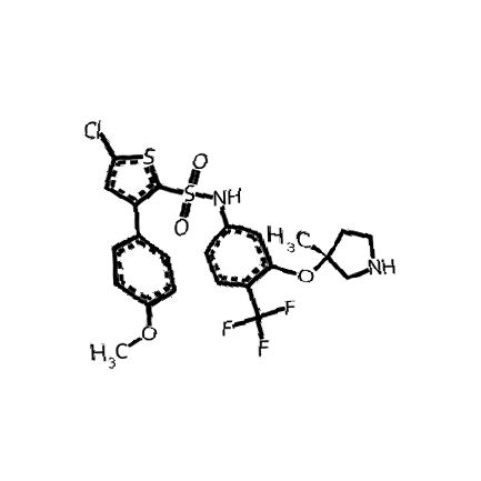 COc1ccc(-c2cc(Cl)sc2S(=O)(=O)Nc2ccc(C(F)(F)F)c(O[C@]3(C)CCNC3)c2)cc1